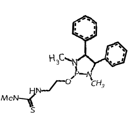 CNC(=S)NCCOP1N(C)C(c2ccccc2)C(c2ccccc2)N1C